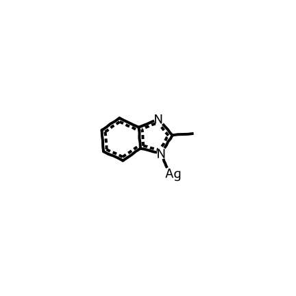 Cc1nc2ccccc2[n]1[Ag]